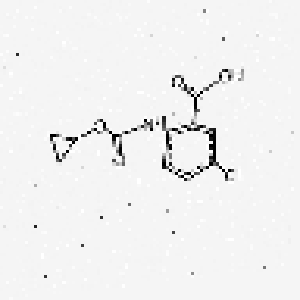 O=C(Nc1ccc(Cl)cc1C(=O)O)OC1CC1